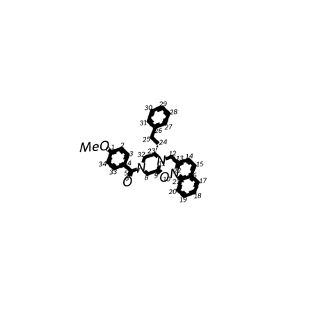 COc1ccc(C(=O)N2CC(=O)N(Cc3ccc4ccccc4n3)[C@@H](CCc3ccccc3)C2)cc1